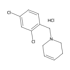 Cl.Clc1ccc(CN2CC=CCC2)c(Cl)c1